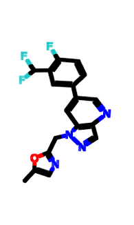 Cc1cnc(Cn2ncc3ncc(-c4ccc(F)c(C(F)F)c4)cc32)o1